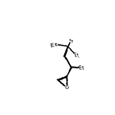 CCC(CC(Br)(CC)CC)C1CO1